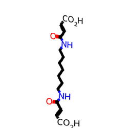 O=C(O)C=CC(=O)NCCCCCCCNC(=O)C=CC(=O)O